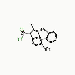 CCCc1ccc2c(c1-c1ccccc1C(C)C)C=C(C)[CH]2[Zr]([Cl])[Cl]